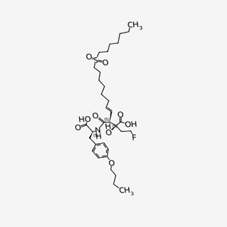 CCCCCCCS(=O)(=O)CCCCCCC=C[C@H](C(=O)N[C@@H](Cc1ccc(OCCCC)cc1)C(=O)O)[C@@](O)(CCF)C(=O)O